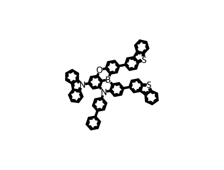 c1ccc(-c2ccc(N3c4ccc(-c5ccc6sc7ccccc7c6c5)cc4B4c5cc(-c6ccc7sc8ccccc8c7c6)ccc5Oc5cc(-n6c7ccccc7c7ccccc76)cc3c54)cc2)cc1